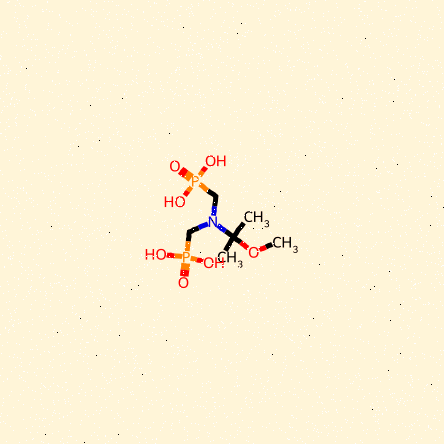 COC(C)(C)N(CP(=O)(O)O)CP(=O)(O)O